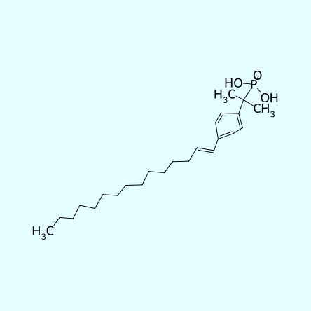 CCCCCCCCCCCCCC=Cc1ccc(C(C)(C)P(=O)(O)O)cc1